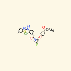 COC(=O)[C@H]1CC[C@H](OC[C@@H]2C[C@H](F)CN2C(=O)Cc2ccc(Nc3nc4ccc(C)cc4s3)c(Cl)c2)CC1